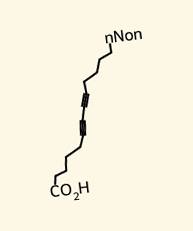 CCCCCCCCCCCCCC#CC#CCCCCC(=O)O